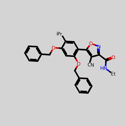 CCNC(=O)c1noc(-c2cc(C(C)C)c(OCc3ccccc3)cc2OCc2ccccc2)c1C#N